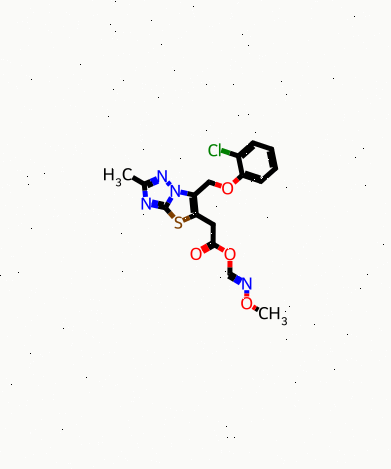 CON=COC(=O)Cc1sc2nc(C)nn2c1COc1ccccc1Cl